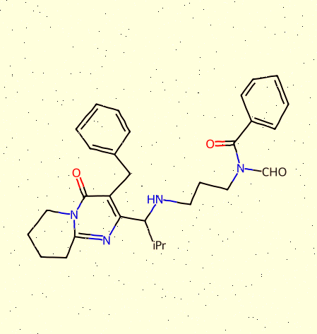 CC(C)C(NCCCN(C=O)C(=O)c1ccccc1)c1nc2n(c(=O)c1Cc1ccccc1)CCCC2